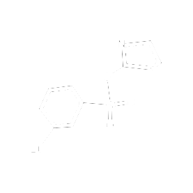 CCc1cccc(S(=O)(=O)Oc2nccs2)c1